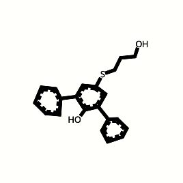 OCCCSc1cc(-c2ccccc2)c(O)c(-c2ccccc2)c1